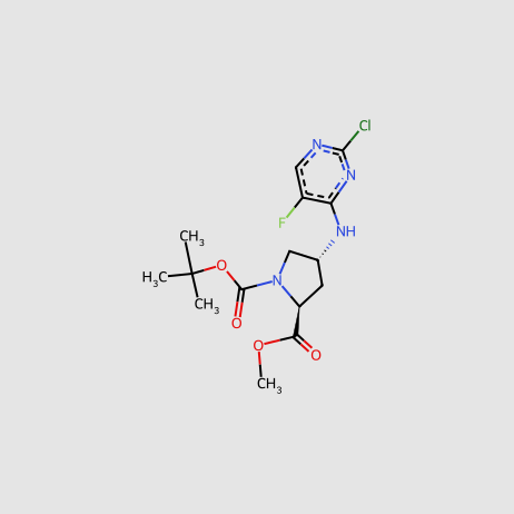 COC(=O)[C@@H]1C[C@@H](Nc2nc(Cl)ncc2F)CN1C(=O)OC(C)(C)C